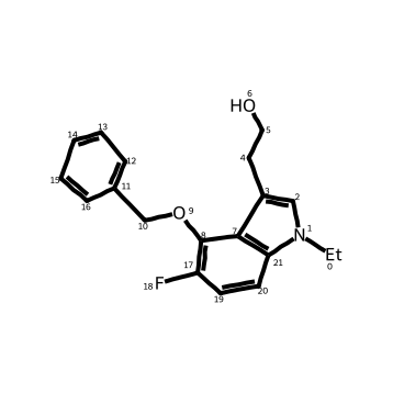 CCn1cc(CCO)c2c(OCc3ccccc3)c(F)ccc21